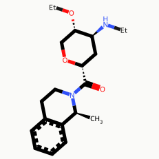 CCN[C@H]1C[C@H](C(=O)N2CCc3ccccc3[C@@H]2C)OC[C@@H]1OCC